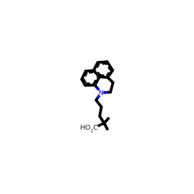 CC(C)(CCCN1CCc2cccc3cccc1c23)C(=O)O